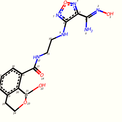 N/C(=N\O)c1nonc1NCCNC(=O)c1cccc2c1B(O)OCC2